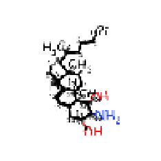 CC(C)CCC[C@@H](C)[C@H]1CC[C@H]2C3=CC=C4C[C@@H](O)[C@@H](N)[C@H](O)[C@]4(C)[C@H]3CC[C@]12C